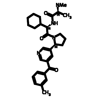 CN[C@@H](C)C(=O)N[C@H](C(=O)N1CCC[C@H]1c1cncc(C(=O)c2cccc(C)c2)c1)C1CCCCC1